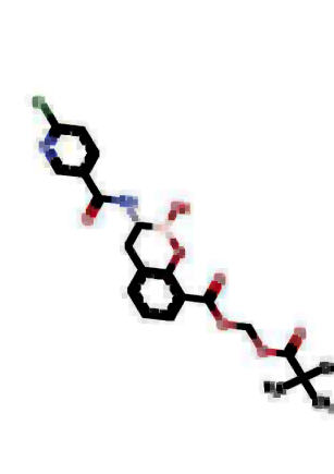 CC(C)(C)C(=O)OCOC(=O)c1cccc2c1OB(O)[C@@H](NC(=O)c1ccc(Cl)nc1)C2